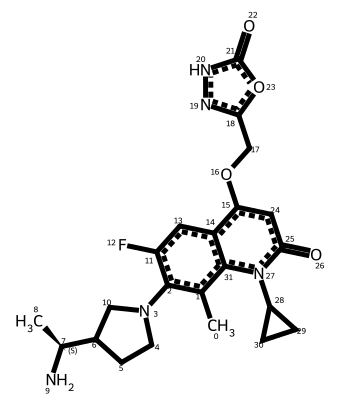 Cc1c(N2CCC([C@H](C)N)C2)c(F)cc2c(OCc3n[nH]c(=O)o3)cc(=O)n(C3CC3)c12